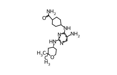 CC1(C)C[C@@H](Nc2ncc(N)c(NC3CCC(C(N)=O)CC3)n2)CCO1